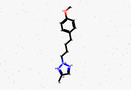 COc1ccc(CCCCn2ncc(C)n2)cc1